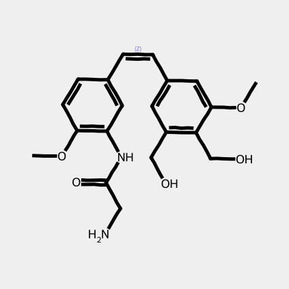 COc1ccc(/C=C\c2cc(CO)c(CO)c(OC)c2)cc1NC(=O)CN